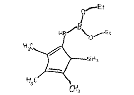 CCOB(BC1=C(C)C(C)=C(C)C1[SiH3])OCC